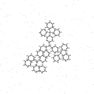 c1ccc(C2(c3ccc(N(c4ccc(C5(c6ccccc6)c6ccccc6-c6ccccc65)cc4)c4ccc5ccc6c(N(c7cccc8ccccc78)c7cccc8ccccc78)ccc7ccc4c5c76)cc3)c3ccccc3-c3ccccc32)cc1